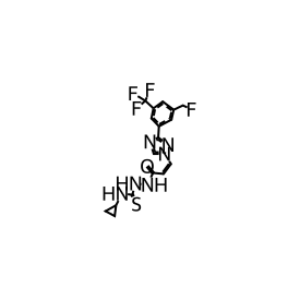 O=C(/C=C\n1cnc(-c2cc(CF)cc(C(F)(F)F)c2)n1)NNC(=S)NC1CC1